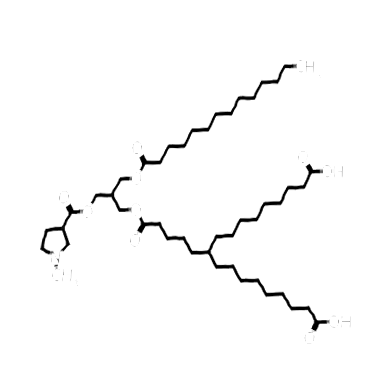 CCCCCCCCCCCCCC(=O)OCC(COC(=O)CCCCC(CCCCCCCCC(=O)O)CCCCCCCCC(=O)O)COC(=O)C1CCN(C)C1